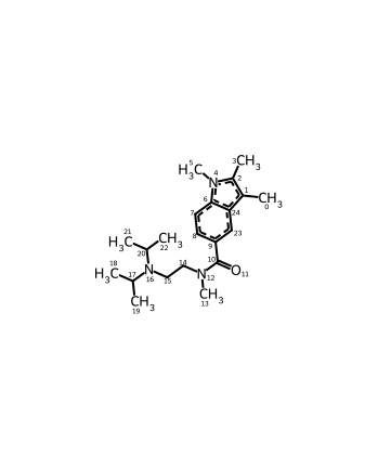 Cc1c(C)n(C)c2ccc(C(=O)N(C)CCN(C(C)C)C(C)C)cc12